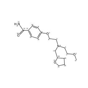 COCCN(CCOc1ccc(C(N)=O)cc1)CC1CCCO1